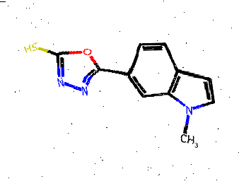 Cn1ccc2ccc(-c3nnc(S)o3)cc21